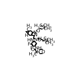 C[C@@H](C(=O)Nc1cc2c([nH]c(-c3nn(COCC[Si](C)(C)C)c4c3C[C@@H]3C[C@]3(C)C4)[n+]2COCC[Si](C)(C)C)c(F)c1F)N1CCOCC1